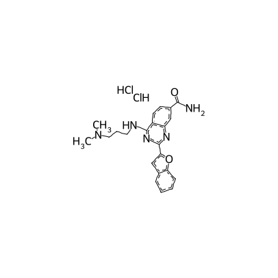 CN(C)CCCNc1nc(-c2cc3ccccc3o2)nc2cc(C(N)=O)ccc12.Cl.Cl